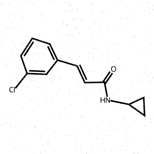 O=C(C=Cc1cccc(Cl)c1)NC1CC1